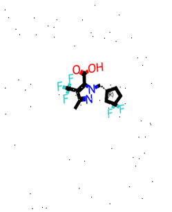 Cc1nn(C[C@@H]2CCC(F)(F)C2)c(C(=O)O)c1C(F)(F)F